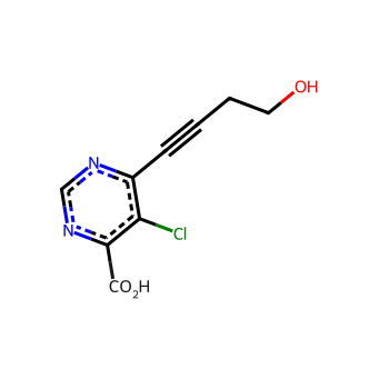 O=C(O)c1ncnc(C#CCCO)c1Cl